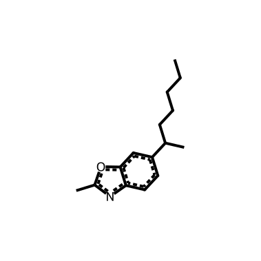 CCCCCC(C)c1ccc2nc(C)oc2c1